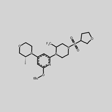 C[C@@H]1COCCN1c1cc(OC(C)(C)C)nc(N2CCN(S(=O)(=O)C3CCOC3)CC2C(F)(F)F)c1